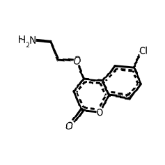 NCCOc1cc(=O)oc2ccc(Cl)cc12